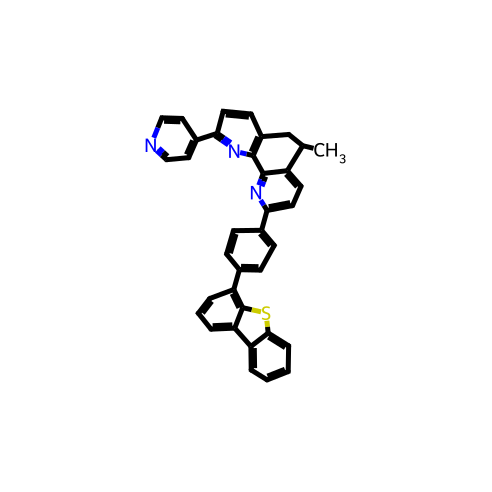 CC1Cc2ccc(-c3ccncc3)nc2-c2nc(-c3ccc(-c4cccc5c4sc4ccccc45)cc3)ccc21